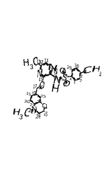 Cc1ccc(S(=O)(=O)Nc2ncc(C)nc2OCc2ccc3c(c2)OCCN3C)cc1